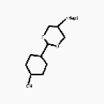 CCCCCCCC1COC(C2CCC(C#N)CC2)OC1